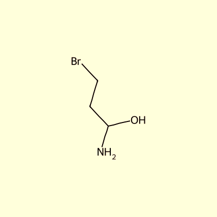 NC(O)CCBr